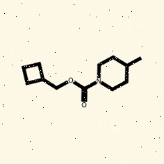 CC1CCN(C(=O)OCC2CCC2)CC1